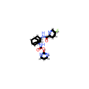 O=C(NC12CC3CC(C1)CC(NC(=O)c1ccc(F)cn1)(C3)C2)Oc1ncccn1